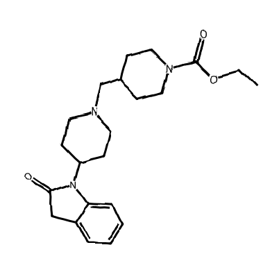 CCOC(=O)N1CCC(CN2CCC(N3C(=O)Cc4ccccc43)CC2)CC1